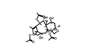 CC(=O)O[C@H]1C[C@]2(O)C[C@@H]3[C@]4(OC(C)=O)CO[C@@H]4C[C@H](O)[C@@]3(C)[C@@H](O)[C@H](OC(C)=O)C(=C1C)C2(C)C